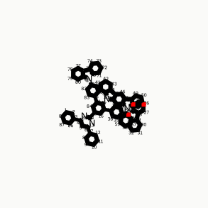 c1ccc(-c2cc(-c3ccccc3)nc(-c3cc(-c4ccc(-n5c6ccccc6c6ccccc65)cc4)c(-n4c5ccccc5c5cc6c7ccccc7n(-c7ccccc7)c6cc54)c(-c4ccc(-n5c6ccccc6c6ccccc65)cc4)c3)n2)cc1